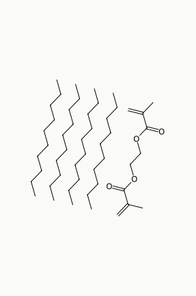 C=C(C)C(=O)OCCOC(=O)C(=C)C.CCCCCCCCCC.CCCCCCCCCC.CCCCCCCCCC.CCCCCCCCCC